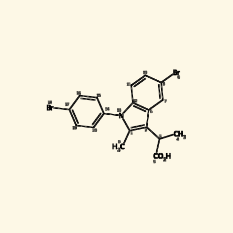 Cc1c(C(C)C(=O)O)c2cc(Br)ccc2n1-c1ccc(Br)cc1